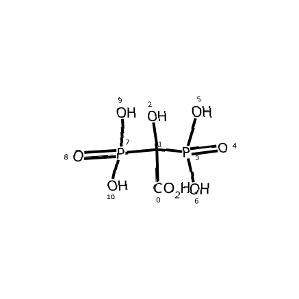 O=C(O)C(O)(P(=O)(O)O)P(=O)(O)O